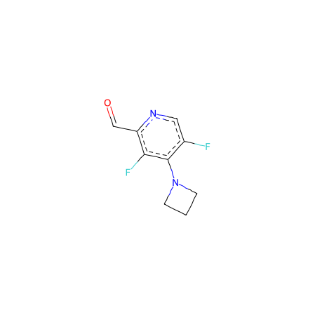 O=Cc1ncc(F)c(N2CCC2)c1F